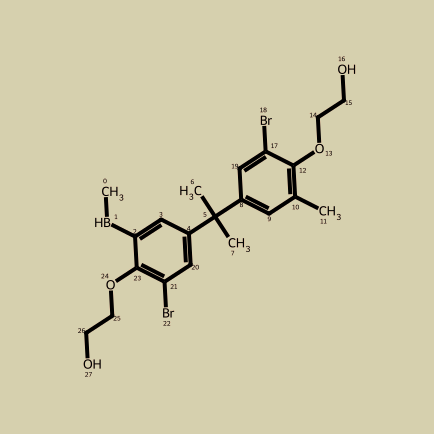 CBc1cc(C(C)(C)c2cc(C)c(OCCO)c(Br)c2)cc(Br)c1OCCO